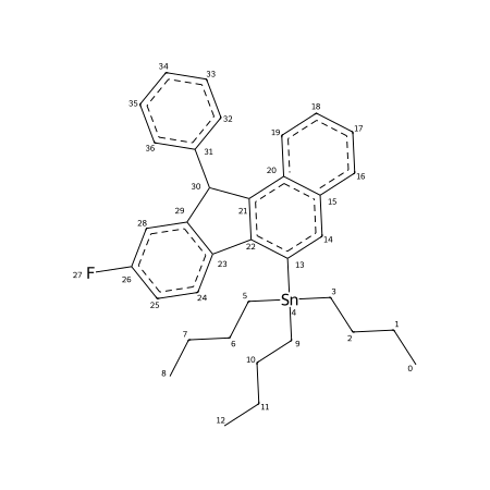 CCC[CH2][Sn]([CH2]CCC)([CH2]CCC)[c]1cc2ccccc2c2c1-c1ccc(F)cc1C2c1ccccc1